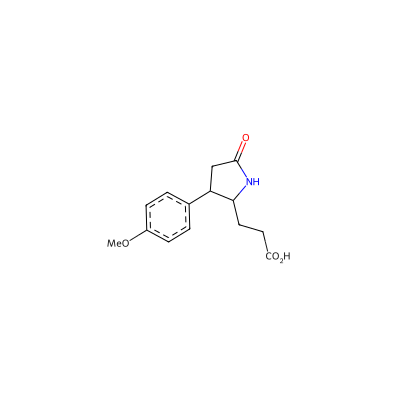 COc1ccc(C2CC(=O)NC2CCC(=O)O)cc1